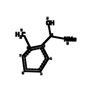 CNC(O)c1ccccc1C